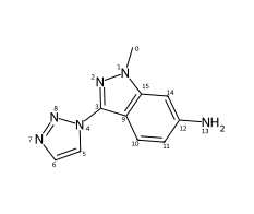 Cn1nc(-n2ccnn2)c2ccc(N)cc21